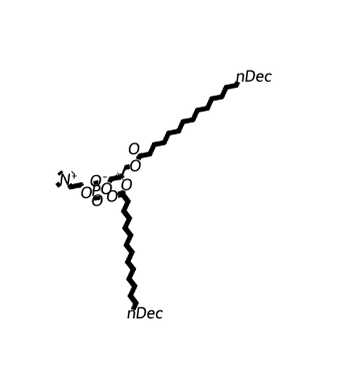 CCCCCCCCCCCCCCCCCCCCCCCC(=O)OC[C@H](COP(=O)([O-])OCC[N+](C)(C)C)OC(=O)CCCCCCCCCCCCCCCCCCCCCCC